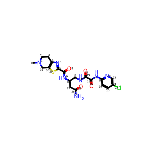 CN1CCc2nc(C(=O)NC(CNC(=O)C(=O)Nc3ccc(Cl)cn3)CC(N)=O)sc2C1